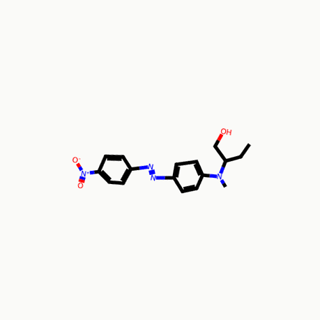 CCC(CO)N(C)c1ccc(N=Nc2ccc([N+](=O)[O-])cc2)cc1